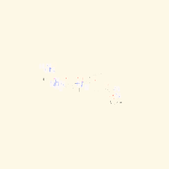 CCc1ccccc1CN1CC=Nc2cc(OCCCCCOc3cc4c(cc3OC)C(=O)N3Cc5cc(NC(=O)[C@H](CCCNC(N)=O)NC(=O)[C@@H](N)C(C)C)ccc5C[C@H]3C=N4)c(OC)cc2C1=O